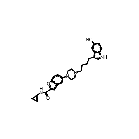 N#Cc1ccc2[nH]cc(CCCCN3CCN(c4ccc5oc(C(=O)NC6CC6)cc5c4)CC3)c2c1